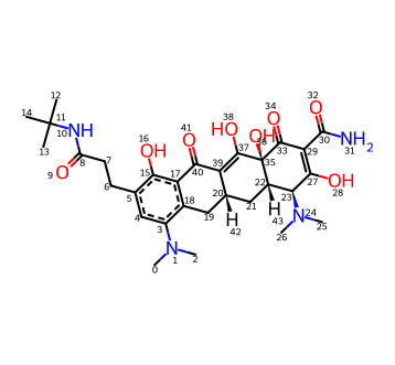 CN(C)c1cc(CCC(=O)NC(C)(C)C)c(O)c2c1C[C@H]1C[C@H]3[C@H](N(C)C)C(O)=C(C(N)=O)C(=O)[C@@]3(O)C(O)=C1C2=O